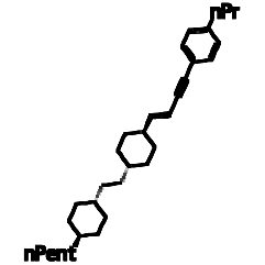 CCCCC[C@H]1CC[C@H](CC[C@H]2CC[C@H](C=CC#Cc3ccc(CCC)cc3)CC2)CC1